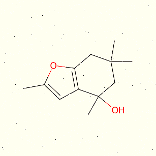 Cc1cc2c(o1)CC(C)(C)CC2(C)O